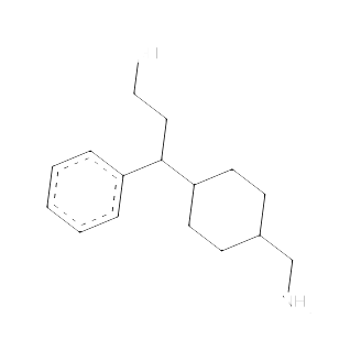 NCC1CCC(C(CCO)c2ccccc2)CC1